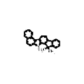 CC1(C)c2ccccc2-c2ccc3c([nH]c4ccc5ccccc5c43)c21